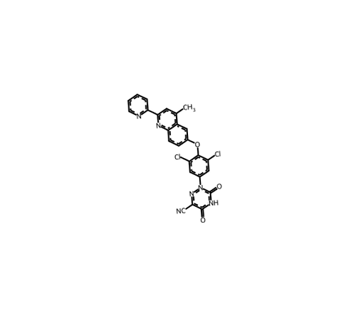 Cc1cc(-c2ccccn2)nc2ccc(Oc3c(Cl)cc(-n4nc(C#N)c(=O)[nH]c4=O)cc3Cl)cc12